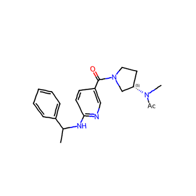 CC(=O)N(C)[C@H]1CCN(C(=O)c2ccc(NC(C)c3ccccc3)nc2)C1